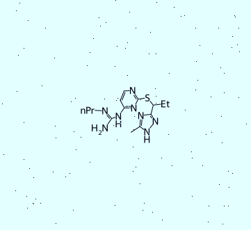 CCCN=C(N)Nc1ccnc(SC(CC)c2n[nH]c(C)n2)n1